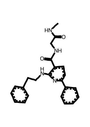 CNC(=O)CNC(=O)c1ccc(-c2ccccc2)nc1NCCc1ccccc1